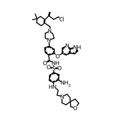 C=C(CCCl)C1=C(CN2CCN(c3ccc(C(=O)NS(=O)(=O)c4ccc(NCCN5CCC6(CCOC6)CC5)c(N)c4)c(Oc4cnc5[nH]ccc5c4)c3)CC2)CCC(C)(C)C1